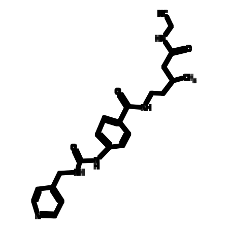 CC(CCNC(=O)c1ccc(NC(=O)NCc2ccncc2)cc1)CC(=O)NCC#N